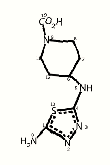 Nc1nnc(NC2CCN(C(=O)O)CC2)s1